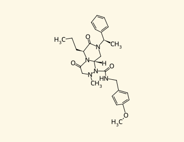 CCC[C@H]1C(=O)N([C@H](C)c2ccccc2)C[C@H]2N1C(=O)CN(C)N2C(=O)NCc1ccc(OC)cc1